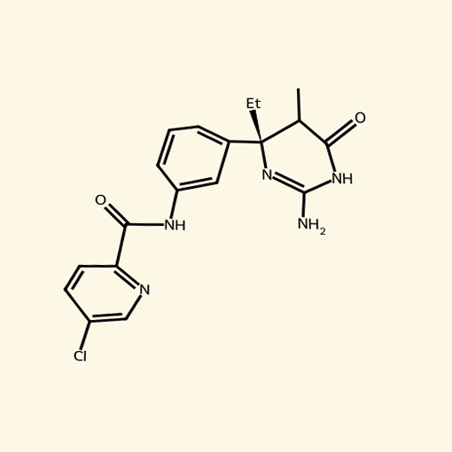 CC[C@]1(c2cccc(NC(=O)c3ccc(Cl)cn3)c2)N=C(N)NC(=O)C1C